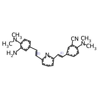 CN(C)c1ccc(/C=C/c2cccc(/C=C/c3ccc(N(C)C)c(C#N)c3)n2)cc1N